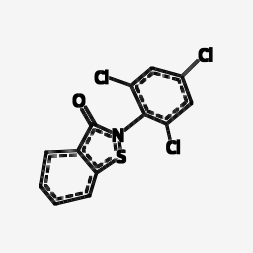 O=c1c2ccccc2sn1-c1c(Cl)cc(Cl)cc1Cl